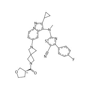 CN(c1nc(-c2ccc(F)cc2)c(C#N)s1)c1c(C2CC2)nn2ccc(N3CC4(CN(C(=O)[C@H]5CCOC5)C4)C3)cc12